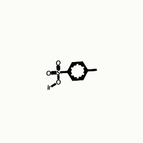 Cc1ccc(S(=O)(=O)[O][Ir])cc1